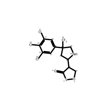 O=C1SOCC1[C]1CC(c2cc(Cl)c(Cl)c(Cl)c2)(C(F)(F)F)CN1